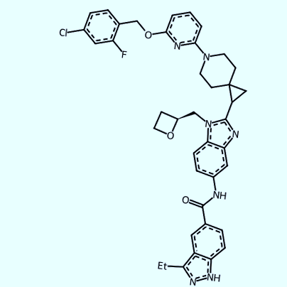 CCc1n[nH]c2ccc(C(=O)Nc3ccc4c(c3)nc(C3CC35CCN(c3cccc(OCc6ccc(Cl)cc6F)n3)CC5)n4C[C@@H]3CCO3)cc12